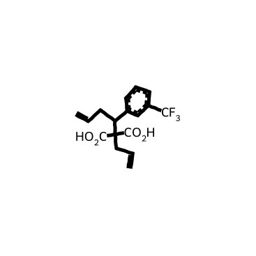 C=CCC(c1cccc(C(F)(F)F)c1)C(CC=C)(C(=O)O)C(=O)O